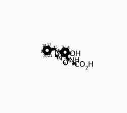 O=C(O)CNC(=O)c1c(O)ccc2c1ncn2Cc1ccccc1